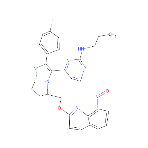 CCCNc1nccc(-c2c(-c3ccc(F)cc3)nc3n2C(COc2ccc4cccc(N=O)c4n2)CC3)n1